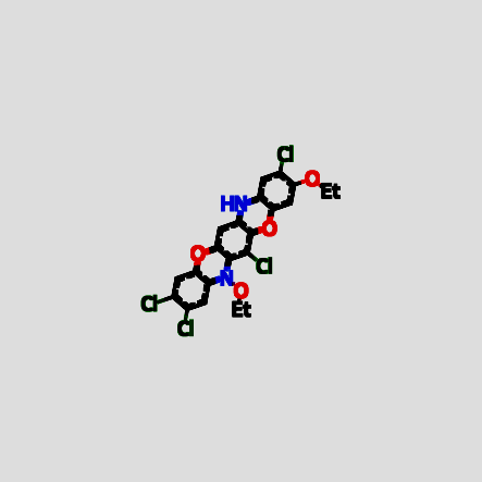 CCOc1cc2oc3c(Cl)c4c(cc3[nH]c2cc1Cl)oc1cc(Cl)c(Cl)cc1n4OCC